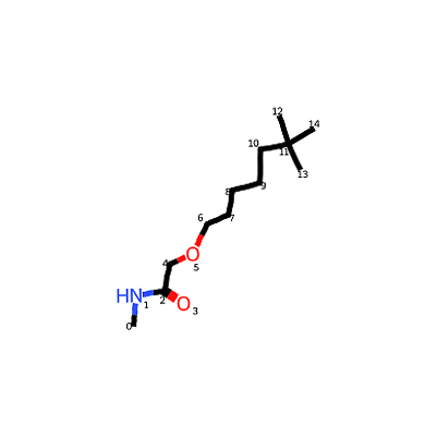 CNC(=O)COCCCCCC(C)(C)C